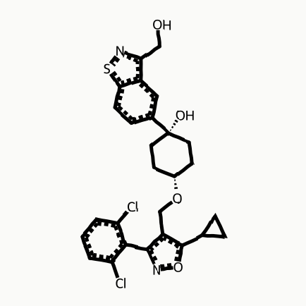 OCc1nsc2ccc([C@]3(O)CC[C@@H](OCc4c(-c5c(Cl)cccc5Cl)noc4C4CC4)CC3)cc12